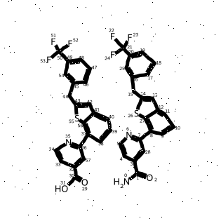 NC(=O)c1ccnc(-c2cccc3cc(Cc4cccc(C(F)(F)F)c4)sc23)c1.O=C(O)c1ccnc(-c2cccc3cc(Cc4cccc(C(F)(F)F)c4)sc23)c1